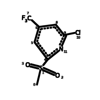 CS(=O)(=O)c1cc(C(F)(F)F)cc(Cl)n1